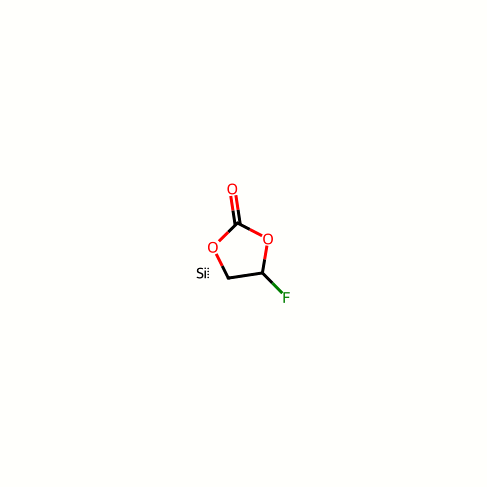 O=C1OCC(F)O1.[Si]